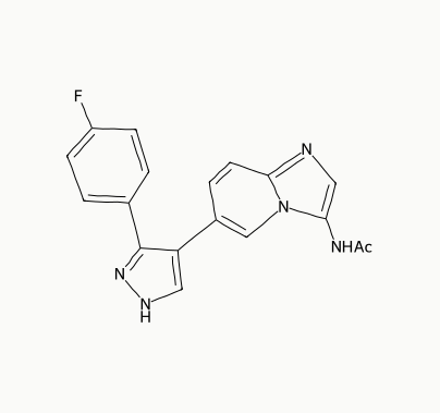 CC(=O)Nc1cnc2ccc(-c3c[nH]nc3-c3ccc(F)cc3)cn12